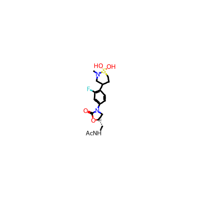 CC(=O)NC[C@H]1CN(c2ccc(C3CCS(O)(O)N(C)C3)c(F)c2)C(=O)O1